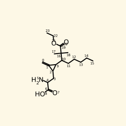 C=C1C(CC(N)C(=O)O)C1C(CCCCC)C(C)(C)C(=O)OCC